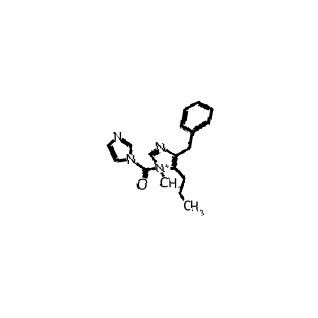 CCCC1=C(Cc2ccccc2)N=C[N+]1(C)C(=O)n1ccnc1